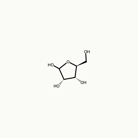 OC[C@@H]1OC(O)[C@@H](O)[C@H]1O